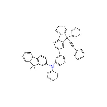 CC1(C)c2cc(N(C3=CC=CCC3)c3cccc(-c4ccc5c(c4)C(C#Cc4ccccc4)(c4ccccc4)c4ccccc4-5)c3)ccc2C2C=CC=CC21